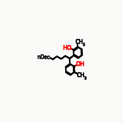 CCCCCCCCCCCCCCC(c1cccc(C)c1O)c1cccc(C)c1O